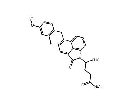 CCOc1ccc(Cc2ccc3c4c(cccc24)N(C(C=O)CCC(=O)NC)C3=O)c(F)c1